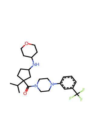 CC(C)C1(C(=O)N2CCN(c3cccc(C(F)(F)F)c3)CC2)CCC(NC2CCOCC2)C1